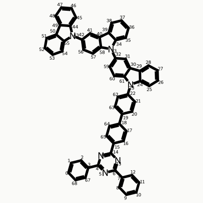 c1ccc(-c2nc(-c3ccccc3)nc(-c3ccc(-c4ccc(-n5c6ccccc6c6cc(-n7c8ccccc8c8cc(-n9c%10ccccc%10c%10ccccc%109)ccc87)ccc65)cc4)cc3)n2)cc1